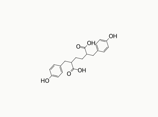 O=C(O)C(CCC(Cc1ccc(O)cc1)C(=O)O)Cc1ccc(O)cc1